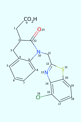 O=C(O)CC1Cc2ccccc2N(Cc2nc3c(Cl)cccc3s2)C1=O